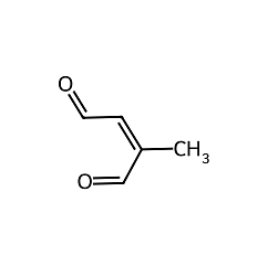 CC(C=O)=CC=O